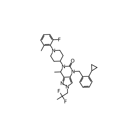 Cc1cccc(F)c1N1CCC(N2C(=O)N(Cc3ccccc3C3CC3)c3cn(CC(C)(F)F)nc3C2C)CC1